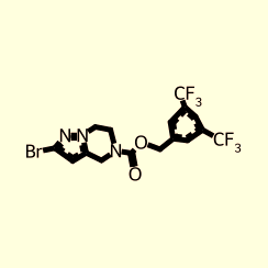 O=C(OCc1cc(C(F)(F)F)cc(C(F)(F)F)c1)N1CCn2nc(Br)cc2C1